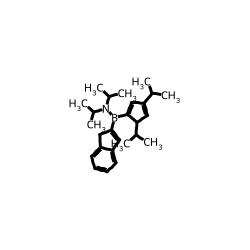 CC(C)C1=CC(C(C)C)C(B(C2=Cc3ccccc3C2)N(C(C)C)C(C)C)=C1